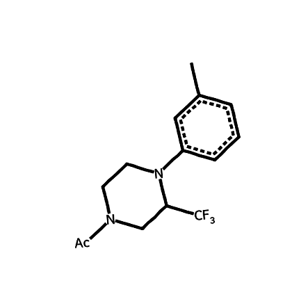 CC(=O)N1CCN(c2cccc(C)c2)C(C(F)(F)F)C1